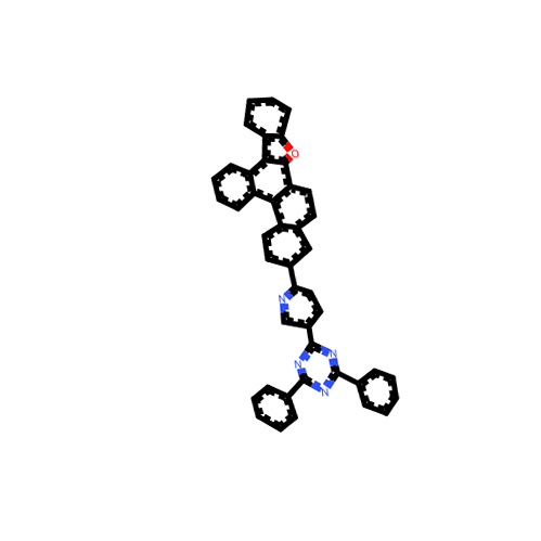 c1ccc(-c2nc(-c3ccccc3)nc(-c3ccc(-c4ccc5c(ccc6c7oc8ccccc8c7c7ccccc7c56)c4)nc3)n2)cc1